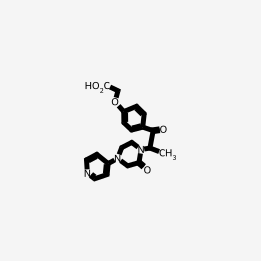 CC(C(=O)c1ccc(OCC(=O)O)cc1)N1CCN(c2ccncc2)CC1=O